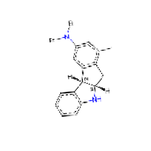 CCN(CC)c1cc(C)c2c(c1)[C@H]1c3ccccc3N[C@H]1C2